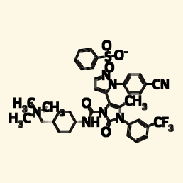 Cc1c(-c2ccnn2-c2ccc(C#N)cc2)n(C(=O)N[C@H]2CC[C@@H](C[N+](C)(C)C)CC2)c(=O)n1-c1cccc(C(F)(F)F)c1.O=S(=O)([O-])c1ccccc1